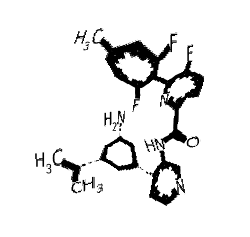 Cc1cc(F)c(-c2nc(C(=O)Nc3cnccc3[C@H]3C[C@@H](N)C[C@@H](C(C)C)C3)ccc2F)c(F)c1